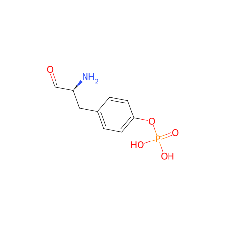 N[C@H](C=O)Cc1ccc(OP(=O)(O)O)cc1